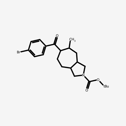 CC1CC2CN(C(=O)OC(C)(C)C)CC2CCC1C(=O)c1ccc(Br)cc1